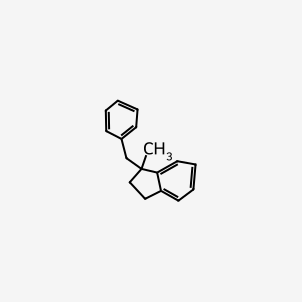 CC1(Cc2ccccc2)CCc2ccccc21